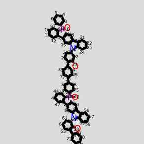 O=P1(c2ccccc2)c2ccccc2-c2cc3c(cc21)c1ccccc1n3-c1ccc2c(c1)oc1cc(-c3ccc(P4(=O)c5ccccc5-c5cc6c(cc54)c4ccccc4n6-c4cccc5c4oc4ccccc45)cc3)ccc12